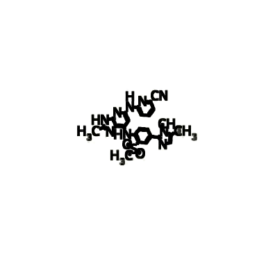 Cc1nc2c(Nc3ccc(-c4ncc(C)n4C)cc3S(C)(=O)=O)cc(Nc3cccc(C#N)n3)nc2[nH]1